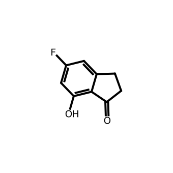 O=C1CCc2cc(F)cc(O)c21